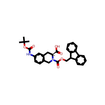 CC(C)(C)OC(=O)Nc1ccc2c(c1)C[C@@H](C(=O)O)N(C(=O)OCC1c3ccccc3-c3ccccc31)C2